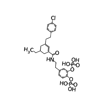 CCC1CC(CCc2ccc(Cl)cc2)=C=C(C(=O)NCCc2ccc(OP(=O)(O)O)c(OP(=O)(O)O)c2)C1